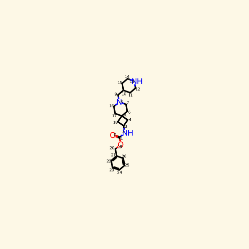 O=C(NC1CC2(CCN(CC3CCNCC3)CC2)C1)OCc1ccccc1